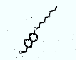 CCCCCCCCOc1ccc2cc([C]=O)ccc2c1